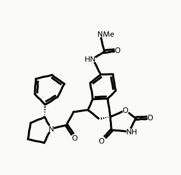 CNC(=O)Nc1ccc2c(c1)C(CC(=O)N1CCC[C@@H]1c1ccccc1)C[C@@]21OC(=O)NC1=O